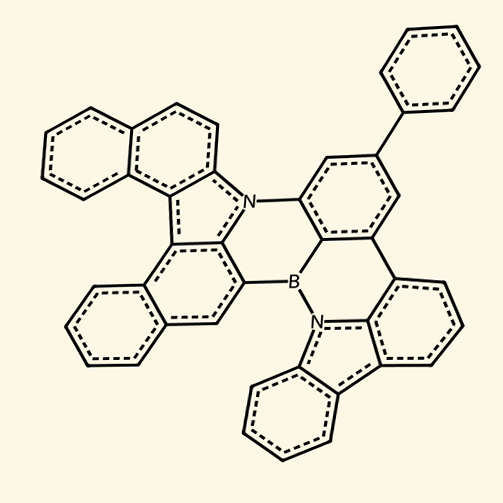 c1ccc(-c2cc3c4c(c2)-n2c5ccc6ccccc6c5c5c6ccccc6cc(c52)B4n2c4ccccc4c4cccc-3c42)cc1